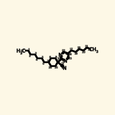 CCCCCCCC1CCC(C#N)(c2ncc(CCCCCC)cn2)CC1